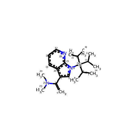 C=C(c1cn([Si](C(C)C)(C(C)C)C(C)C)c2ncccc12)N(C)C